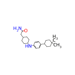 CC1(C)CCC(c2ccc(NC3CCC(CC(N)=O)CC3)cc2)CC1